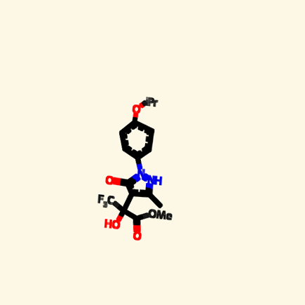 COC(=O)C(O)(c1c(C)[nH]n(-c2ccc(OC(C)C)cc2)c1=O)C(F)(F)F